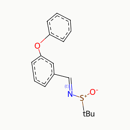 CC(C)(C)[S+]([O-])/N=C/c1cccc(Oc2ccccc2)c1